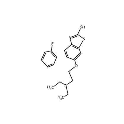 CCN(CC)CCOc1ccc2nc(S)sc2c1.Fc1ccccc1